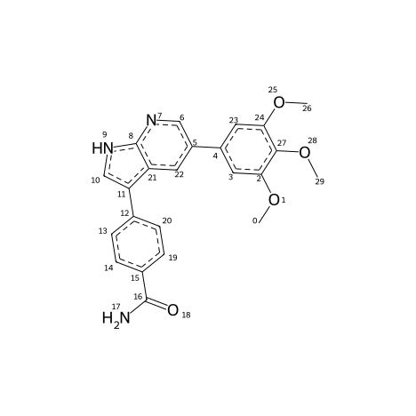 COc1cc(-c2cnc3[nH]cc(-c4ccc(C(N)=O)cc4)c3c2)cc(OC)c1OC